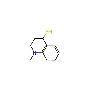 CN1CCC(S)C2=C1CCC=C2